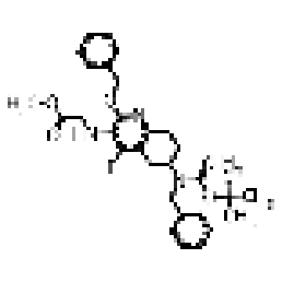 COC(=O)CNc1c(OCc2ccccc2)nc2c(c1F)CC(N(Cc1ccccc1)C(=O)OC(C)(C)C)CC2